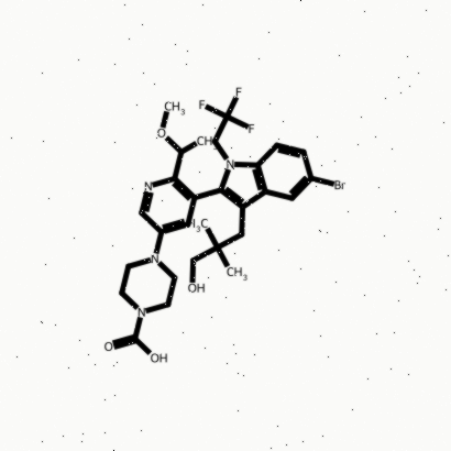 COC(C)c1ncc(N2CCN(C(=O)O)CC2)cc1-c1c(CC(C)(C)CO)c2cc(Br)ccc2n1CC(F)(F)F